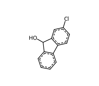 OC1c2ccccc2-c2ccc(Cl)cc21